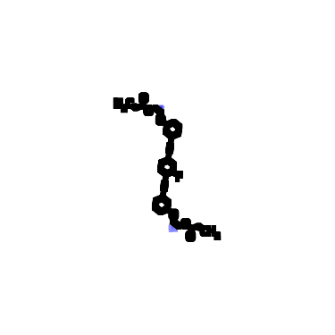 C=CC(=O)O/C=C\Oc1cccc(C#Cc2ccc(C#Cc3cccc(O/C=C\OC(=O)C=C)c3)c(F)c2)c1